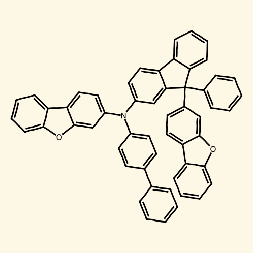 c1ccc(-c2ccc(N(c3ccc4c(c3)C(c3ccccc3)(c3ccc5c(c3)oc3ccccc35)c3ccccc3-4)c3ccc4c(c3)oc3ccccc34)cc2)cc1